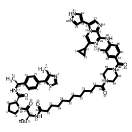 Cc1ncsc1-c1ccc([C@H](C)NC(=O)[C@@H]2CCCN2C(=O)[C@@H](NC(=O)CCCCCCCCCCC(=O)N2CCN(C(=O)c3ccc(Nc4nc(C5CC5)cn5c(-c6cn[nH]c6)cnc45)c(F)c3)CC2)C(C)(C)C)cc1